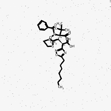 CCCCCCCc1nc([C@H](C(=O)O)C(C2SCCS2)[C@](C(=O)O)(N(OC)C(=O)c2ccccc2)C(C)(C)C)no1